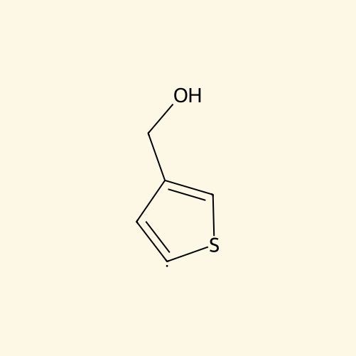 OCc1c[c]sc1